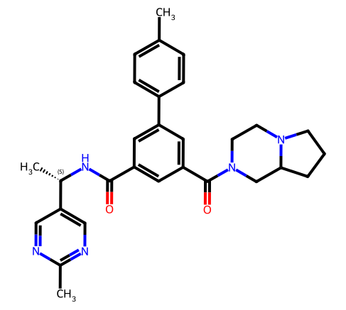 Cc1ccc(-c2cc(C(=O)N[C@@H](C)c3cnc(C)nc3)cc(C(=O)N3CCN4CCCC4C3)c2)cc1